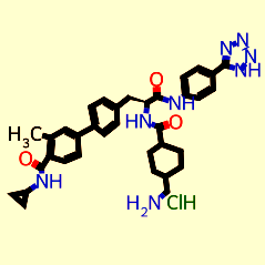 Cc1cc(-c2ccc(C[C@H](NC(=O)C3CCC(CN)CC3)C(=O)Nc3ccc(-c4nnn[nH]4)cc3)cc2)ccc1C(=O)NC1CC1.Cl